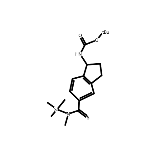 CN(C(=S)c1ccc2c(c1)CCC2NC(=O)OC(C)(C)C)[Si](C)(C)C